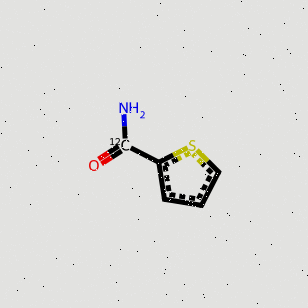 N[12C](=O)c1cccs1